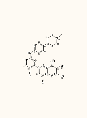 CC(C)N1c2cc(-c3nc(Nc4ccc(C5CCN(C)CC5)cn4)ncc3F)cc(F)c2C=C(C#N)C1O